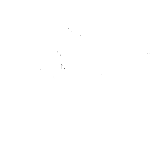 Cc1ccc(S(=O)(=O)n2nc(N)c3c2CC(c2cccc(F)c2)(c2cccc(F)c2)C=C3)cc1